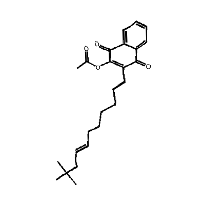 CC(=O)OC1=C(CCCCCCC=CCC(C)(C)C)C(=O)c2ccccc2C1=O